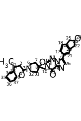 C[C@H](CC(=O)N1CCC(O)(Cn2cnn3c(-c4ccc5c(c4)CC(=O)C5)cnc3c2=O)CC1)c1ccccc1